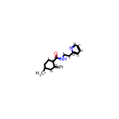 CC1CCC(C(=O)NCCc2ccccn2)C(C(C)C)C1